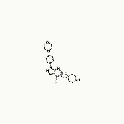 O=c1c2cnn(-c3ccc(N4CCOCC4)cc3)c2ncn1CC1(O)CCNCC1